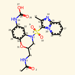 CC(=O)NCC1CN(S(=O)(=O)c2c(C)nc3ccccn23)c2cc(NC(=O)O)ccc2O1